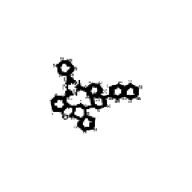 C1=C(C2=CC3c4c(cccc4-c4nc(-c5ccccc5)nc(-c5ccccc5)n4)OC3c3ccccc32)CCC(c2ccc3ccccc3c2)=C1